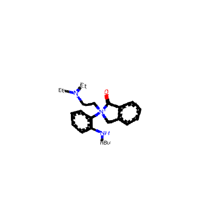 CCCCNc1ccccc1[N+]1(CCN(CC)CC)Cc2ccccc2C1=O